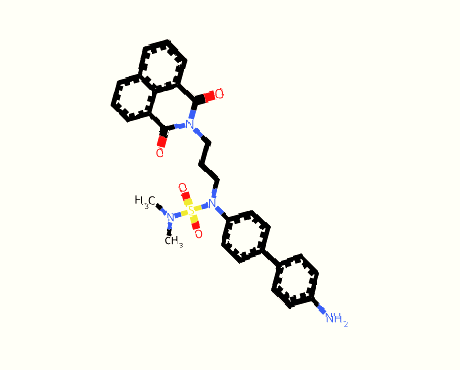 CN(C)S(=O)(=O)N(CCCN1C(=O)c2cccc3cccc(c23)C1=O)c1ccc(-c2ccc(N)cc2)cc1